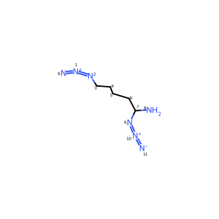 [N-]=[N+]=NCCCCC(N)N=[N+]=[N-]